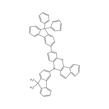 CC1(C)c2ccccc2-c2cc(N3c4ccc(-c5ccc6c(c5)-c5ccccc5C6(c5ccccc5)c5ccccc5)cc4Oc4c3ccc3ccccc43)ccc21